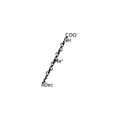 CCCCCCCCCCCCCCCCOCCOCCOCCOCCOCCOCCOCCNCCC(=O)[O-].[Na+]